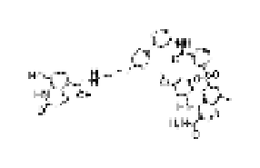 COc1cccc(Nc2c(C(N)=O)cnc3c(C)cc(S(=O)(=O)c4cccc(C(=O)Nc5cccc(-c6ccc(CCCCNC[C@H](O)c7ccc(O)c8c7OCC(=O)N8)cc6)c5)c4)cc23)c1